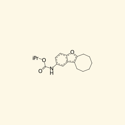 CC(C)OC(=O)Nc1ccc2oc3c(c2c1)CCCCCC3